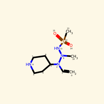 C=CN(C1CCNCC1)N(C)NS(C)(=O)=O